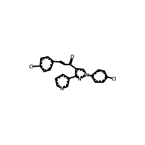 O=C(C=Cc1ccc(Cl)cc1)c1cn(-c2ccc(Cl)cc2)nc1-c1cccnc1